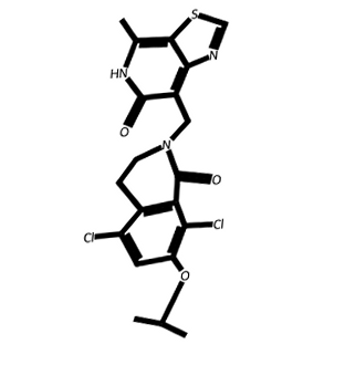 Cc1[nH]c(=O)c(CN2CCc3c(Cl)cc(OC(C)C)c(Cl)c3C2=O)c2ncsc12